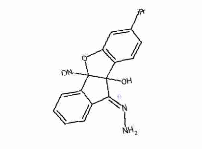 CC(C)c1ccc2c(c1)OC1(N=O)c3ccccc3/C(=N\N)C21O